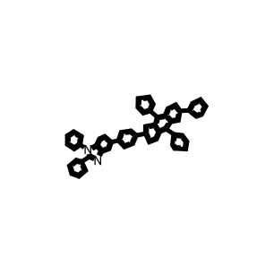 c1ccc(-c2ccc3c(-c4ccccc4)c4cc(-c5ccc(-c6ccc7c(c6)nc(-c6ccccc6)n7-c6ccccc6)cc5)ccc4c(-c4ccccc4)c3c2)cc1